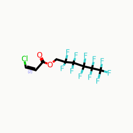 O=C(/C=C\Cl)OCC(F)(F)C(F)(F)C(F)(F)C(F)(F)C(F)(F)F